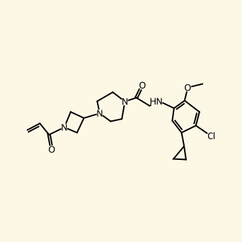 C=CC(=O)N1CC(N2CCN(C(=O)CNc3cc(C4CC4)c(Cl)cc3OC)CC2)C1